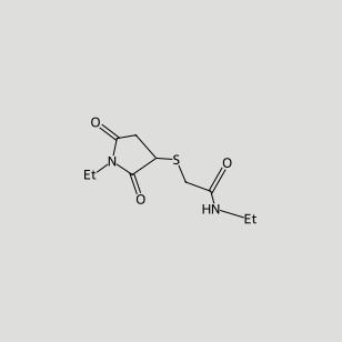 CCNC(=O)CSC1CC(=O)N(CC)C1=O